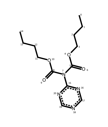 CCCCOC(=O)N(C(=O)OCCCC)c1ncncn1